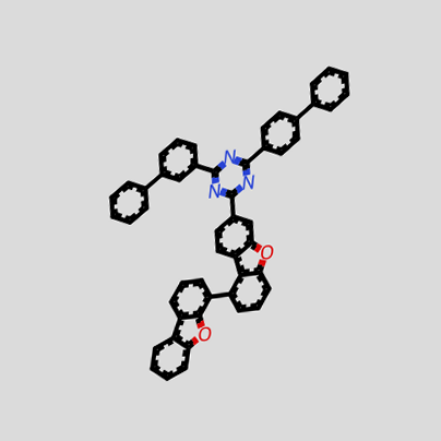 c1ccc(-c2ccc(-c3nc(-c4cccc(-c5ccccc5)c4)nc(-c4ccc5c(c4)oc4cccc(-c6cccc7c6oc6ccccc67)c45)n3)cc2)cc1